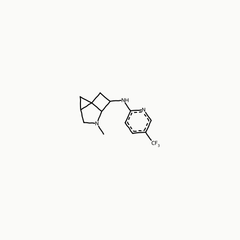 CN1CC2CC23CC(Nc2ccc(C(F)(F)F)cn2)C13